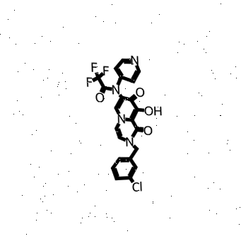 O=C(N(c1ccncc1)c1cn2ccn(Cc3cccc(Cl)c3)c(=O)c2c(O)c1=O)C(F)(F)F